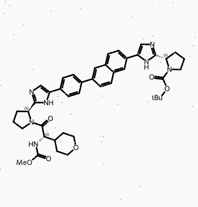 COC(=O)N[C@H](C(=O)N1CCC[C@H]1c1ncc(-c2ccc(-c3ccc4cc(-c5cnc([C@@H]6CCCN6C(=O)OC(C)(C)C)[nH]5)ccc4c3)cc2)[nH]1)C1CCOCC1